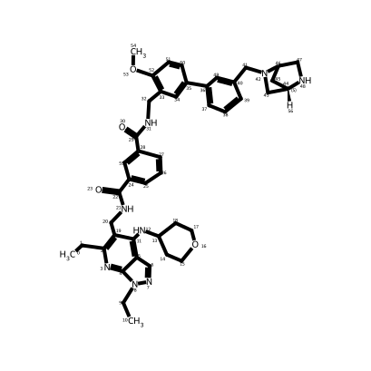 CCc1nc2c(cnn2CC)c(NC2CCOCC2)c1CNC(=O)c1cccc(C(=O)NCc2cc(-c3cccc(CN4C[C@@H]5CC4CN5)c3)ccc2OC)c1